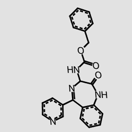 O=C(NC1N=C(c2cccnc2)c2ccccc2NC1=O)OCc1ccccc1